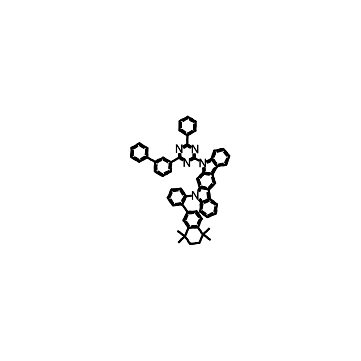 CC1(C)CCC(C)(C)c2cc(-c3ccccc3-n3c4ccccc4c4cc5c6ccccc6n(-c6nc(-c7ccccc7)nc(-c7cccc(-c8ccccc8)c7)n6)c5cc43)ccc21